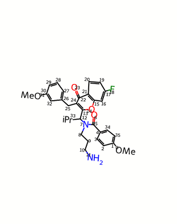 COc1ccc(C(=O)N(CCCN)C(c2oc3cc(F)ccc3c(=O)c2Cc2cccc(OC)c2)C(C)C)cc1